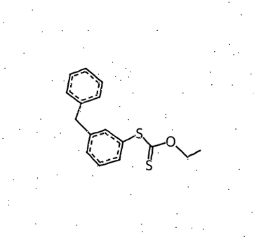 CCOC(=S)Sc1cccc(Cc2ccccc2)c1